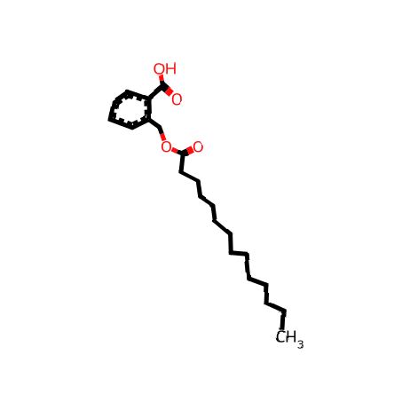 CCCCCCCCCCCCCC(=O)OCc1ccccc1C(=O)O